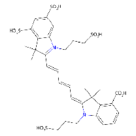 CC1(C)C(/C=C/C=C/C=C2/N(CCCS(=O)(=O)O)c3cccc(C(=O)O)c3C2(C)C)=[N+](CCCS(=O)(=O)O)c2cc(S(=O)(=O)O)cc(S(=O)(=O)O)c21